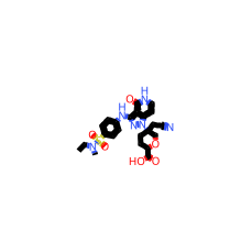 CCN(C)S(=O)(=O)c1ccc(Nc2nn(C3(CC#N)CCC(C(=O)O)OC3)c3cc[nH]c(=O)c23)cc1